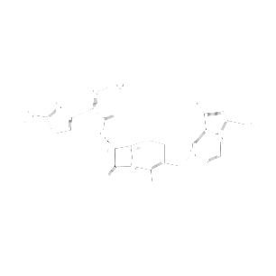 CO/N=C(\C(=O)N[C@@H]1C(=O)N2C(C(=O)[O-])=C(Cn3cc[n+]4c(C(C)=O)cc(Cl)c-4c3)CS[C@H]12)c1csc(N)n1